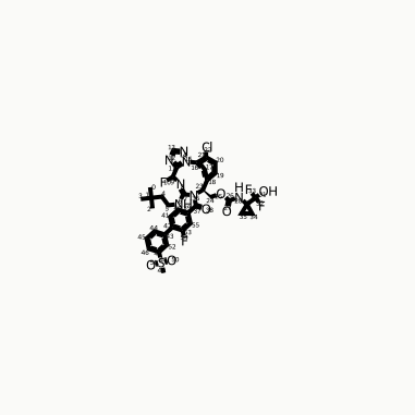 CC(C)(C)CCN/C1=N\C(F)c2ncnn2-c2cc(ccc2Cl)[C@@H](COC(=O)NC2(C(O)(F)F)CC2)N1C(=O)c1ccc(-c2cccc(S(C)(=O)=O)c2)c(F)c1